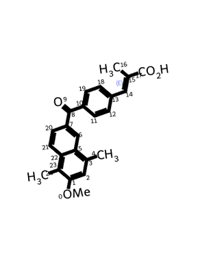 COc1cc(C)c2cc(C(=O)c3ccc(/C=C(\C)C(=O)O)cc3)ccc2c1C